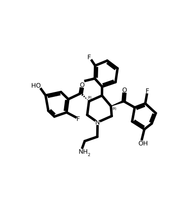 Cc1c(F)cccc1C1[C@@H](C(=O)c2cc(O)ccc2F)CN(CCN)C[C@@H]1C(=O)c1cc(O)ccc1F